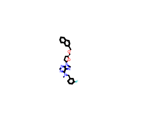 CN(Cc1cccc(F)c1)c1ncnc2c1ncn2[C@H]1CC[C@@H](COCc2ccc3ccccc3c2)O1